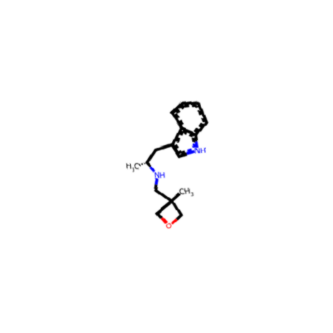 C[C@H](Cc1c[nH]c2ccccc12)NCC1(C)COC1